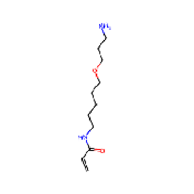 C=CC(=O)NCCCCCOCCCN